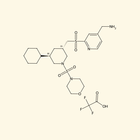 NCc1ccnc(S(=O)(=O)C[C@H]2C[C@H](C3CCCCC3)CN(S(=O)(=O)N3CCOCC3)C2)c1.O=C(O)C(F)(F)F